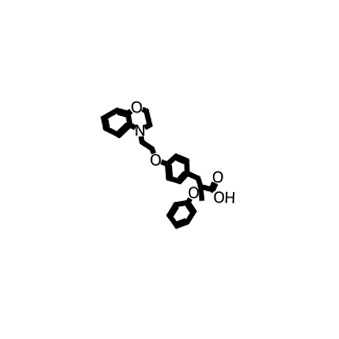 CC(Cc1ccc(OCCN2CCOc3ccccc32)cc1)(Oc1ccccc1)C(=O)O